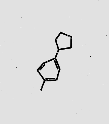 Cc1ccc(C2CCCC2)cc1